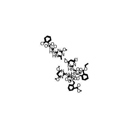 CCOC(=O)c1ccccc1S(=O)(=O)NC(=O)Nc1nc(Cl)cc(OC)n1.COC(=O)c1ccccc1CS(=O)(=O)NC(=O)Nc1nc(OC)cc(OC)n1.COc1nc(C)nc(NC(=O)NS(=O)(=O)c2ccccc2Cl)n1